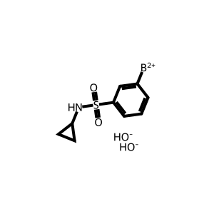 [B+2]c1cccc(S(=O)(=O)NC2CC2)c1.[OH-].[OH-]